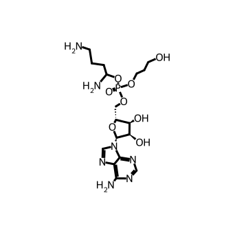 NCCCC(N)OP(=O)(OCCCO)OC[C@H]1O[C@@H](n2cnc3c(N)ncnc32)[C@H](O)[C@@H]1O